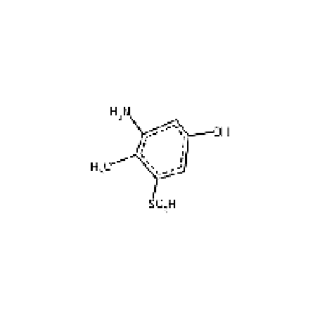 Cc1c(N)cc(O)cc1S(=O)(=O)O